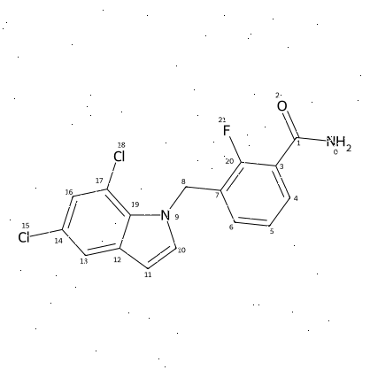 NC(=O)c1cccc(Cn2ccc3cc(Cl)cc(Cl)c32)c1F